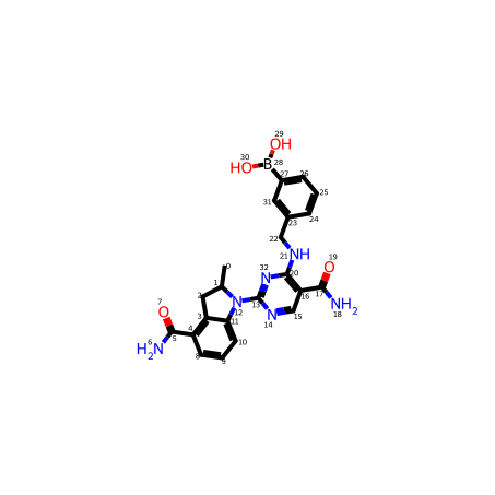 CC1Cc2c(C(N)=O)cccc2N1c1ncc(C(N)=O)c(NCc2cccc(B(O)O)c2)n1